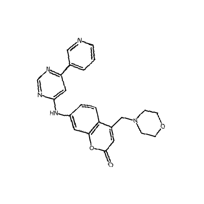 O=c1cc(CN2CCOCC2)c2ccc(Nc3cc(-c4cccnc4)ncn3)cc2o1